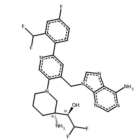 Nc1ncnc2c1ncn2Cc1cc(-c2ccc(F)cc2C(F)F)ncc1N1CCC[C@](N)([C@@H](O)C(F)F)C1